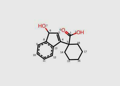 O=C(O)C1(C2=CC(O)c3ccccc32)CCCCC1